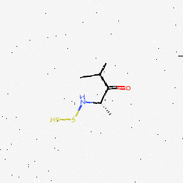 CC(C)C(=O)[C@H](C)NSS